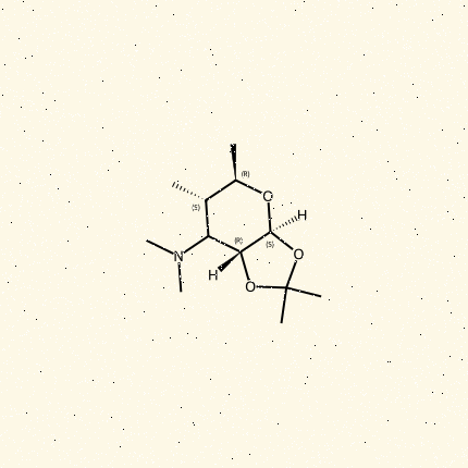 C[C@H]1O[C@H]2OC(C)(C)O[C@@H]2C(N(C)C)[C@@H]1C